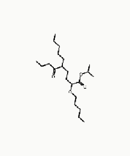 CCCCCOC(CCC(CCCCC)C(=O)CCC)C(=O)OC(C)C